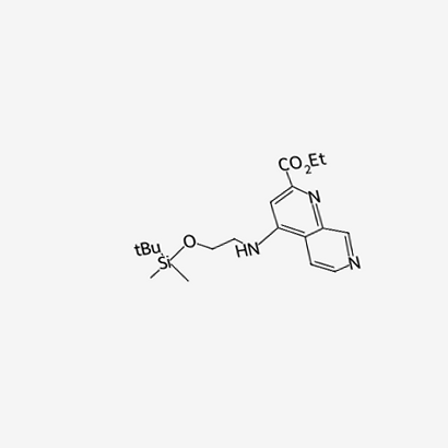 CCOC(=O)c1cc(NCCO[Si](C)(C)C(C)(C)C)c2ccncc2n1